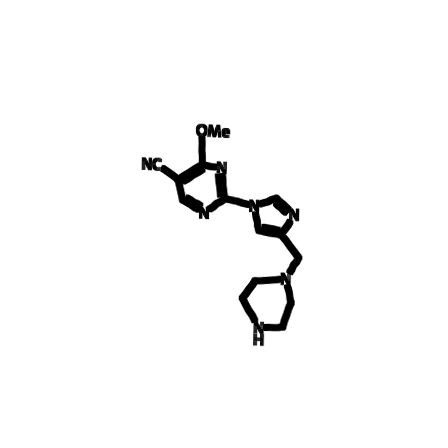 COc1nc(-n2cnc(CN3CCNCC3)c2)ncc1C#N